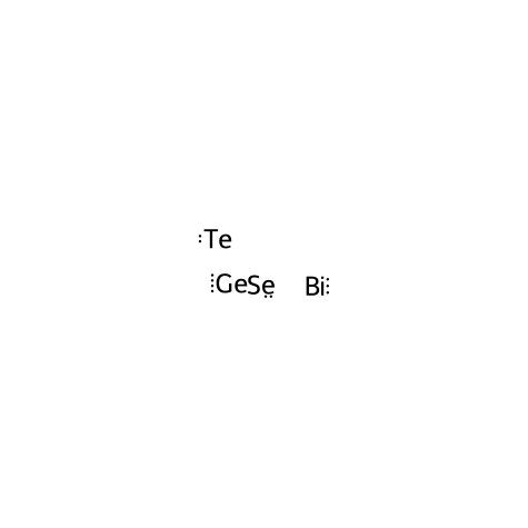 [Bi].[Ge].[Se].[Te]